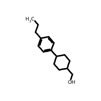 CCCc1ccc(C2CCC(CO)CC2)cc1